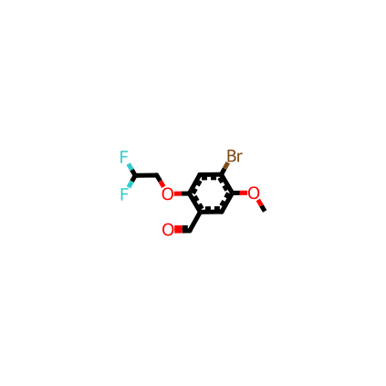 COc1cc(C=O)c(OCC(F)F)cc1Br